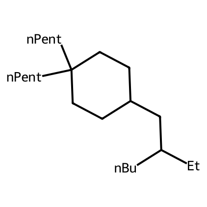 CCCCCC1(CCCCC)CCC(CC(CC)CCCC)CC1